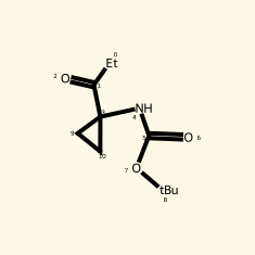 CCC(=O)C1(NC(=O)OC(C)(C)C)CC1